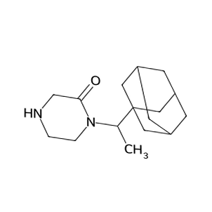 CC(N1CCNCC1=O)C12CC3CC(CC(C3)C1)C2